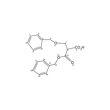 O=C(O)C(COCc1ccccc1)C(=O)OCc1ccccc1